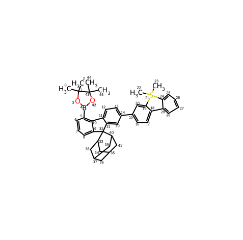 CC1(C)OB(c2cccc3c2-c2ccc(-c4ccc5c(c4)S(C)(C)c4ccccc4-5)cc2C32C3CC4CC(C3)CC2C4)OC1(C)C